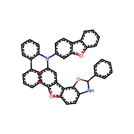 c1ccc(-c2ccccc2N(c2ccc3c(c2)oc2ccccc23)c2ccc3oc4ccc5c(c4c3c2)OC(c2ccccc2)N5)cc1